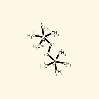 C[SH](C)(C)(C)SS[SH](C)(C)(C)C